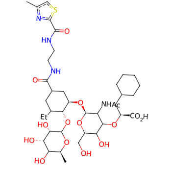 CCC1CC(C(=O)NCCNC(=O)c2nc(C)cs2)C[C@@H](O[C@@H]2OC(CO)C(O)C(O[C@@H](CC3CCCCC3)C(=O)O)C2NC(C)=O)[C@@H]1OC1O[C@@H](C)C(O)[C@H](O)[C@@H]1O